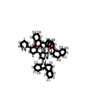 c1ccc(-c2ccc(-c3cc(-n4c5ccccc5c5c6ccccc6ccc54)nc(-n4c5ccccc5c5c6ccccc6ccc54)c3-n3c4ccccc4c4c5ccccc5ccc43)cc2)nc1